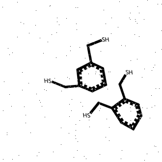 SCc1cccc(CS)c1.SCc1ccccc1CS